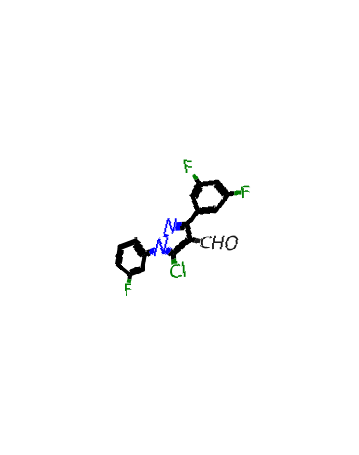 O=Cc1c(-c2cc(F)cc(F)c2)nn(-c2cccc(F)c2)c1Cl